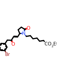 CCOC(=O)CCCCCCN1C(=O)CCC1/C=C/C(=O)Cc1cccc(Br)c1